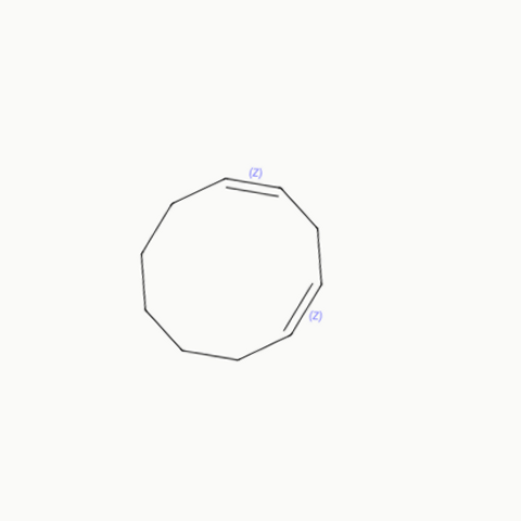 C1=C\CCCCC/C=C\C/1